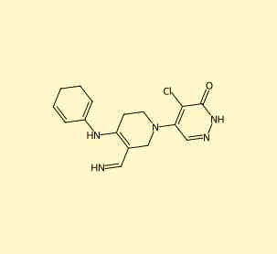 N=CC1=C(NC2=CCCC=C2)CCN(c2cn[nH]c(=O)c2Cl)C1